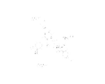 COCCCN1CCOc2ccc(CO[C@H]3CN(S(=O)(=O)c4ccc(C)cc4)[C@@H](CN=C=O)C[C@@H]3c3ccc(COCCOC)cc3)cc21